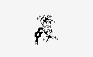 CC(C)(C)OC(=O)n1c(B(O)OC(C)(C)C(C)(C)O)cc2ccc(C#N)cc21